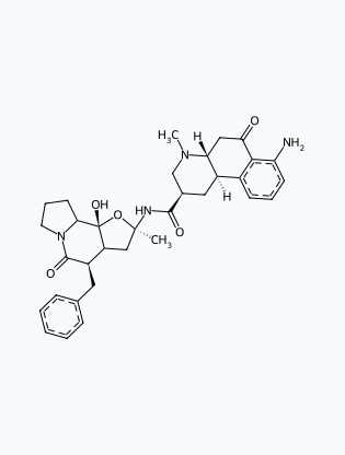 CN1C[C@H](C(=O)N[C@@]2(C)CC3[C@@H](Cc4ccccc4)C(=O)N4CCCC4[C@]3(O)O2)C[C@@H]2c3cccc(N)c3C(=O)C[C@H]21